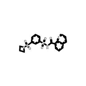 O=C(NS(=O)(=O)c1cccc(S(=O)(=O)N2CCC2)c1)c1cccc2ccccc12